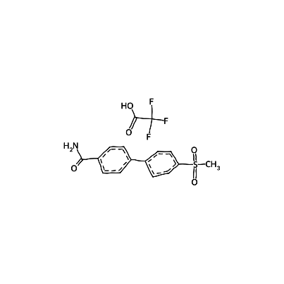 CS(=O)(=O)c1ccc(-c2ccc(C(N)=O)cc2)cc1.O=C(O)C(F)(F)F